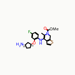 COC(=O)N1Cc2sccc2C(Nc2ccc(F)cc2O[C@H]2CC[C@H](N)C2)=C1C